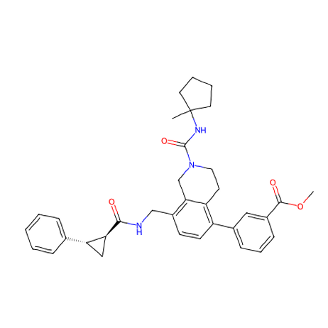 COC(=O)c1cccc(-c2ccc(CNC(=O)[C@H]3C[C@@H]3c3ccccc3)c3c2CCN(C(=O)NC2(C)CCCC2)C3)c1